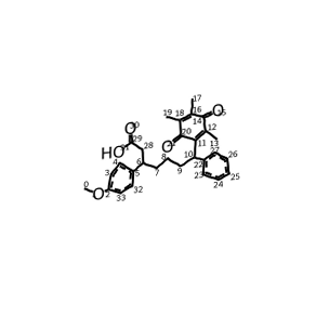 COc1ccc(C(CCCC(C2=C(C)C(=O)C(C)=C(C)C2=O)c2ccccc2)CC(=O)O)cc1